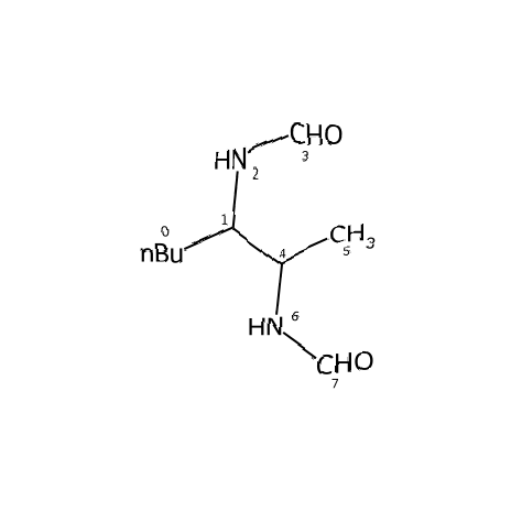 CCCCC(NC=O)C(C)NC=O